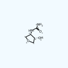 NC(=O)N[C@@H]1COC[C@H]1O